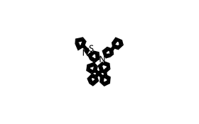 c1ccc(-c2ccc(N(c3ccc4c(c3)C(c3ccccc3)(c3ccccc3)c3ccccc3-4)c3ccc4nc(-c5ccccc5)sc4c3)cc2)cc1